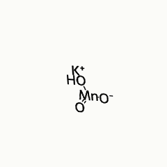 [K+].[O]=[Mn]([O-])[OH]